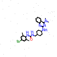 Cc1cc(Br)cc(C)c1NC(=O)NCC1CCC(Nc2nc(N(C)C)c3ccccc3n2)CC1